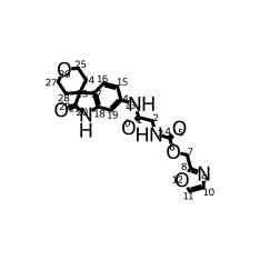 O=C(CNC(=O)OCc1ncco1)Nc1ccc2c(c1)NC(=O)C21CCOCC1